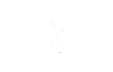 Cc1cccc(C(C#Cc2ccccc2N=[N+]=[N-])NS(C)(=O)=O)c1